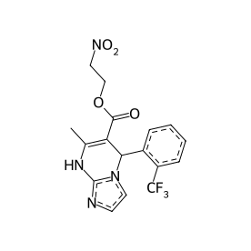 CC1=C(C(=O)OCC[N+](=O)[O-])C(c2ccccc2C(F)(F)F)n2ccnc2N1